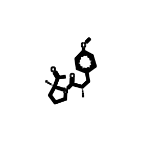 COc1ccc(C[C@H](C)C(=O)N2CCC[C@@]2(C)C(C)=O)cc1